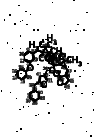 CC1(C)C(C)(C)C1(Cc1cccc(Oc2ccccc2)c1)C(=O)O.CC1(C)[C@H](C(=O)OCc2coc(Cc3ccccc3)c2)[C@@H]1C=C1CCOC1=O